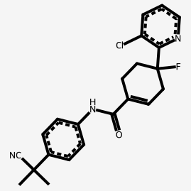 CC(C)(C#N)c1ccc(NC(=O)C2=CCC(F)(c3ncccc3Cl)CC2)cc1